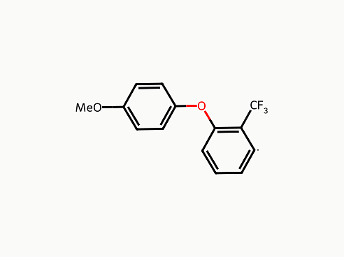 COc1ccc(Oc2ccc[c]c2C(F)(F)F)cc1